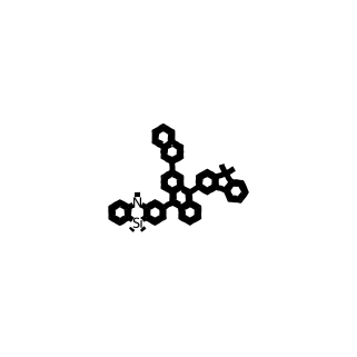 CN1c2ccccc2[Si](C)(C)c2ccc(-c3c4ccccc4c(-c4ccc5c(c4)-c4ccccc4C5(C)C)c4cc(-c5ccc6ccccc6c5)ccc34)cc21